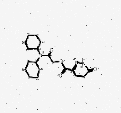 O=C1CCC(C(=O)OCC(=O)N(C2CCCCC2)C2CCCCC2)=NN1